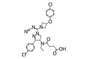 CCN(C(=O)CCC(=O)O)C1CN(C(=NC#N)N2CC(Oc3ccc(Cl)cc3)C2)N=C1c1ccc(Cl)cc1